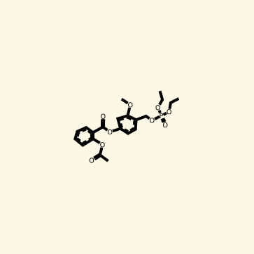 CCOP(=O)(OCC)OCc1ccc(OC(=O)c2ccccc2OC(C)=O)cc1OC